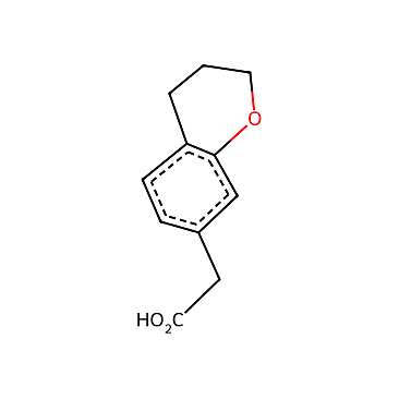 O=C(O)Cc1ccc2c(c1)OCCC2